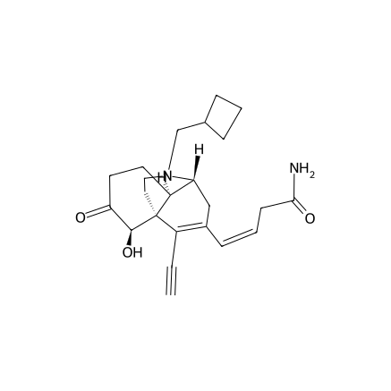 C#CC1=C(/C=C\CC(N)=O)C[C@@H]2[C@@H]3CCC(=O)[C@H](O)[C@]13CCN2CC1CCC1